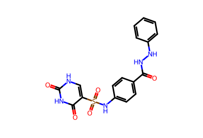 O=C(NNc1ccccc1)c1ccc(NS(=O)(=O)c2c[nH]c(=O)[nH]c2=O)cc1